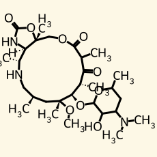 CO[C@]1(C)C[C@@H](C)CN[C@H](C)[C@H]2NC(=O)O[C@]2(C)COC(=O)C(C)C(=O)[C@H](C)[C@H]1OC1OC(C)CC(N(C)C)C1O